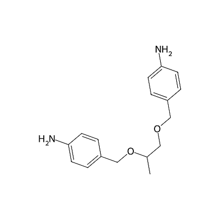 CC(COCc1ccc(N)cc1)OCc1ccc(N)cc1